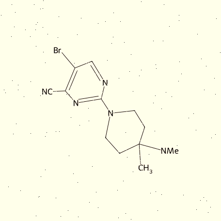 CNC1(C)CCN(c2ncc(Br)c(C#N)n2)CC1